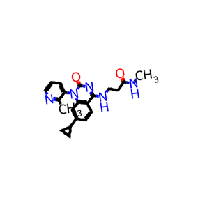 CNC(=O)CCNc1nc(=O)n(-c2cccnc2C)c2cc(C3CC3)ccc12